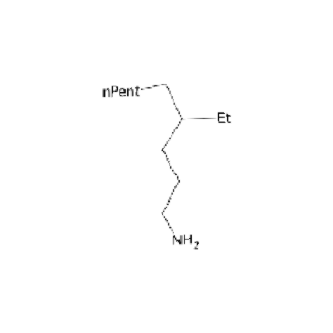 CCCCCCC(CC)CCCN